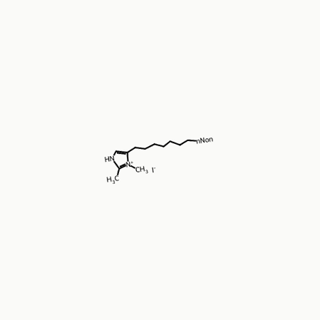 CCCCCCCCCCCCCCCCc1c[nH]c(C)[n+]1C.[I-]